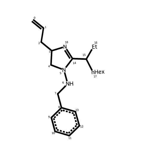 C=CCC1CN(NCc2ccccc2)C(C(CC)CCCCCC)=N1